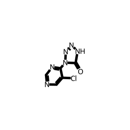 O=c1[nH]nnn1-c1ncncc1Cl